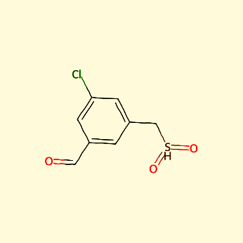 O=Cc1cc(Cl)cc(C[SH](=O)=O)c1